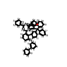 c1ccc(-c2cccc(-n3c4ccc(C5(c6ccccc6)c6ccccc6-c6ccccc65)cc4c4c(-c5nc(-c6ccccc6)nc(-c6ccccc6)n5)cccc43)c2)cc1